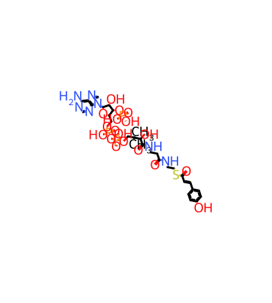 CC(C)(COP(=O)(O)OP(=O)(O)OCC1OC(n2cnc3c(N)ncnc32)C(O)C1OP(=O)(O)O)C(O)C(=O)NCCC(=O)NCCSC(=O)/C=C/c1ccc(O)cc1